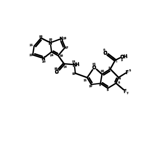 O=C(O)c1c(F)c(F)cc2cc(CNC(=O)c3cnn4cccnc34)oc12